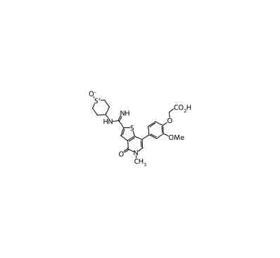 COc1cc(-c2cn(C)c(=O)c3cc(C(=N)NC4CC[S+]([O-])CC4)sc23)ccc1OCC(=O)O